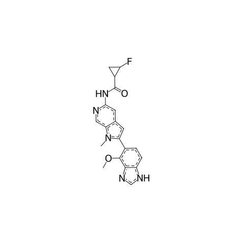 COc1c(-c2cc3cc(NC(=O)C4CC4F)ncc3n2C)ccc2[nH]cnc12